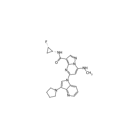 CNc1cc(-n2cc(N3CCCC3)c3ncccc32)nc2c(C(=O)N[C@@H]3C[C@@H]3F)cnn12